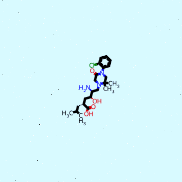 CC(C)C[C@H](C[C@H](O)[C@@H](N)CN1CC(=O)N(c2ccccc2Cl)CC1(C)C)C(=O)O